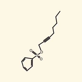 CCCCCC#CCOS(=O)(=O)c1ccccc1